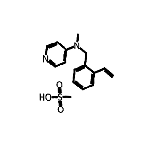 C=Cc1ccccc1CN(C)c1ccncc1.CS(=O)(=O)O